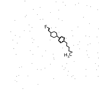 CCCCCCc1ccc(C2CCC(/C=C/F)CC2)cc1